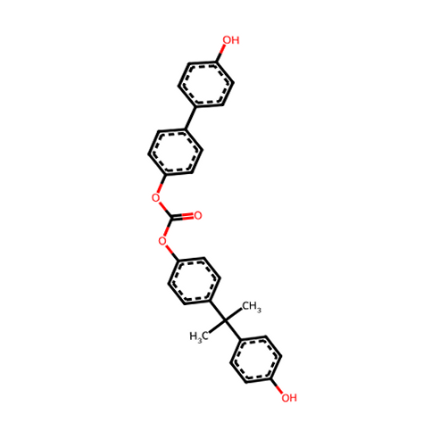 CC(C)(c1ccc(O)cc1)c1ccc(OC(=O)Oc2ccc(-c3ccc(O)cc3)cc2)cc1